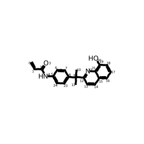 C=CC(=O)Nc1ccc(C(C)(C)c2ccc3cccc(O)c3n2)cc1